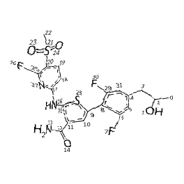 CC(O)Cc1cc(F)c(-c2cc(C(N)=O)c(Nc3ccc(S(C)(=O)=O)c(F)n3)s2)c(F)c1